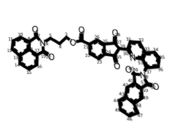 O=C(OCCCN1C(=O)c2cccc3cccc(c23)C1=O)c1ccc2c(c1)C(=O)C(c1ccc3cccc(N4C(=O)c5cc6ccccc6cc5C4=O)c3n1)C2=O